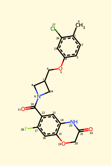 Cc1ccc(OCC2CN(C(=O)c3cc4c(cc3F)OCC(=O)N4)C2)cc1Cl